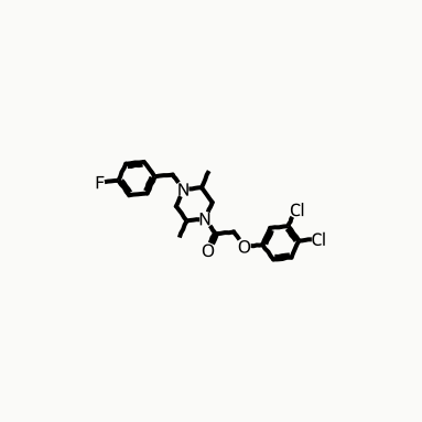 CC1CN(C(=O)COc2ccc(Cl)c(Cl)c2)C(C)CN1Cc1ccc(F)cc1